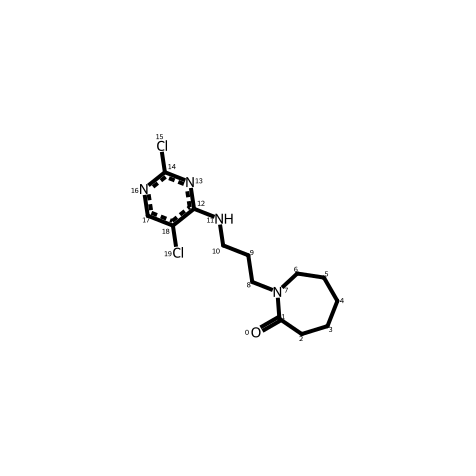 O=C1CCCCCN1CCCNc1nc(Cl)ncc1Cl